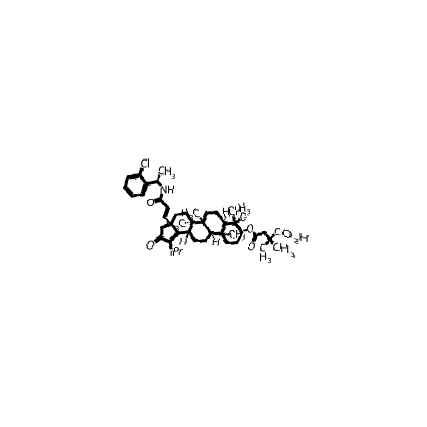 CC(C)C1=C2[C@H]3CC[C@@H]4[C@@]5(C)CC[C@H](OC(=O)CC(C)(C)C(=O)O)C(C)(C)[C@@H]5CC[C@@]4(C)[C@]3(C)CC[C@@]2(C=CC(=O)N[C@H](C)c2ccccc2Cl)CC1=O